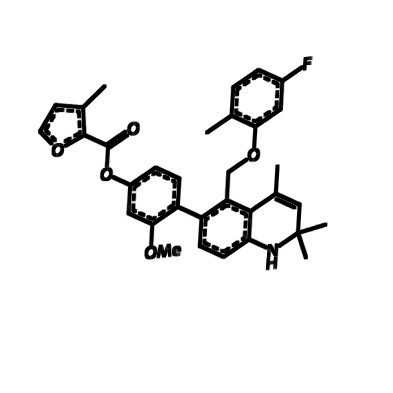 COc1cc(OC(=O)c2occc2C)ccc1-c1ccc2c(c1COc1cc(F)ccc1C)C(C)=CC(C)(C)N2